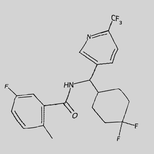 Cc1ccc(F)cc1C(=O)NC(c1ccc(C(F)(F)F)nc1)C1CCC(F)(F)CC1